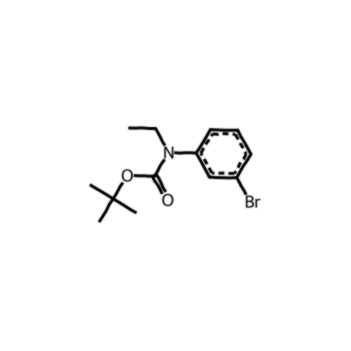 CCN(C(=O)OC(C)(C)C)c1cccc(Br)c1